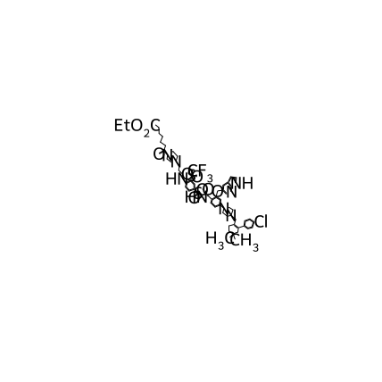 CCOC(=O)CCCCCC(=O)N1CCN(CCCNc2ccc(S(=O)(=O)NC(=O)c3ccc(N4CCN(CC5=C(c6ccc(Cl)cc6)CC(C)(C)CC5)CC4)cc3Oc3cnc4[nH]ccc4c3)cc2S(=O)(=O)C(F)(F)F)CC1